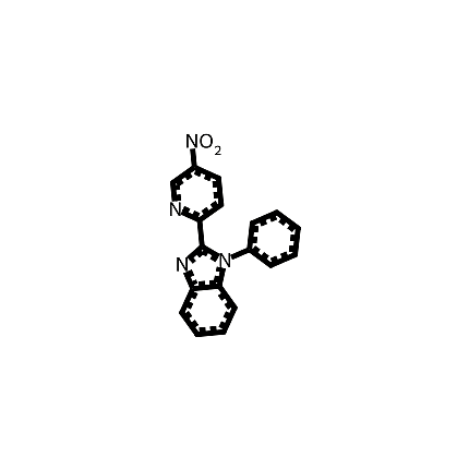 O=[N+]([O-])c1ccc(-c2nc3ccccc3n2-c2ccccc2)nc1